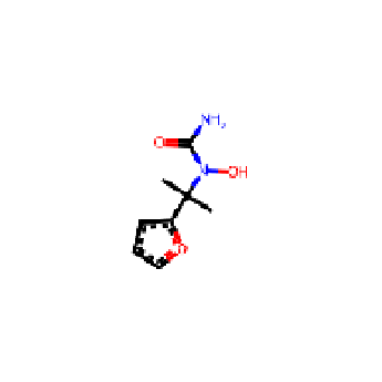 CC(C)(c1ccco1)N(O)C(N)=O